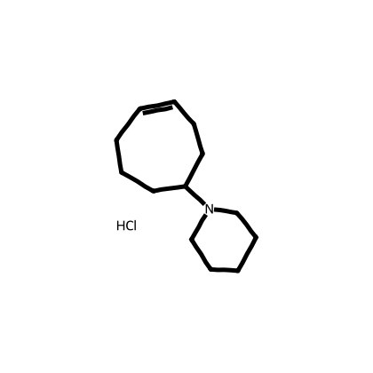 C1=CCCC(N2CCCCC2)CCC1.Cl